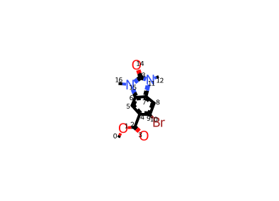 COC(=O)c1cc2c(cc1Br)n(C)c(=O)n2C